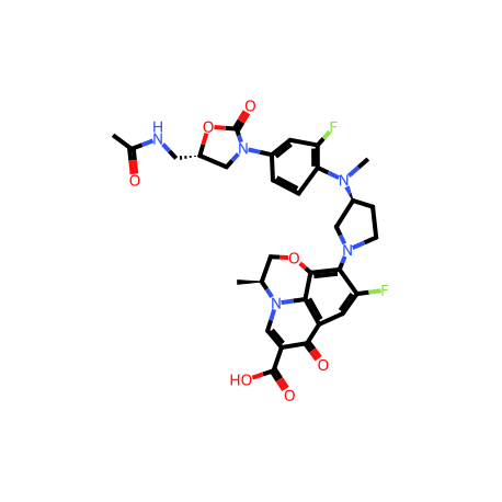 CC(=O)NC[C@H]1CN(c2ccc(N(C)[C@H]3CCN(c4c(F)cc5c(=O)c(C(=O)O)cn6c5c4OC[C@@H]6C)C3)c(F)c2)C(=O)O1